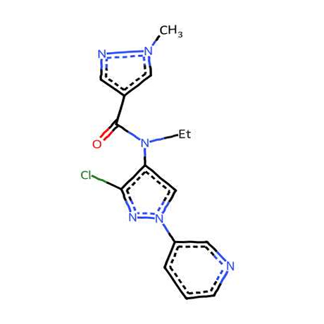 CCN(C(=O)c1cnn(C)c1)c1cn(-c2cccnc2)nc1Cl